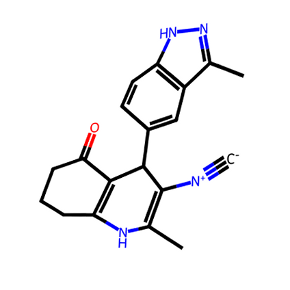 [C-]#[N+]C1=C(C)NC2=C(C(=O)CCC2)C1c1ccc2[nH]nc(C)c2c1